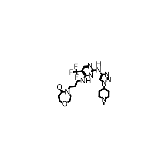 CN1CCC(n2cc(Nc3ncc(C(F)(F)F)c(NCCCN4CCOCCC4=O)n3)nn2)CC1